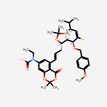 BC(=O)N(CC)c1cc(/C=C/C[C@@H]2OC(C)(C)O[C@@H]2[C@H](OCc2ccc(OC)cc2)/C(F)=C\[C@@H](C)C(C)C)c2c(c1)OC(C)(C)OC2=O